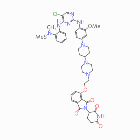 COc1cc(N2CCC(N3CCN(CCOc4cccc5c4C(=O)N(C4CCC(=O)NC4=O)C5=O)CC3)CC2)ccc1Nc1ncc(Cl)c(Nc2ccccc2N(C)SC)n1